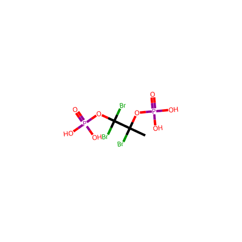 CC(Br)(OP(=O)(O)O)C(Br)(Br)OP(=O)(O)O